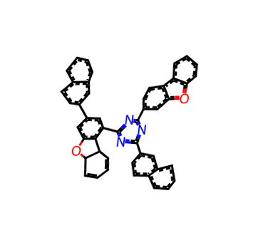 C1=CC2Oc3cc(-c4ccc5ccccc5c4)cc(-c4nc(-c5ccc6ccccc6c5)nc(-c5ccc6c(c5)oc5ccccc56)n4)c3C2C=C1